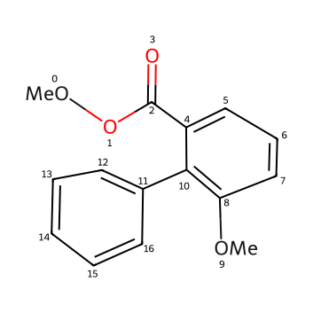 COOC(=O)c1cccc(OC)c1-c1ccccc1